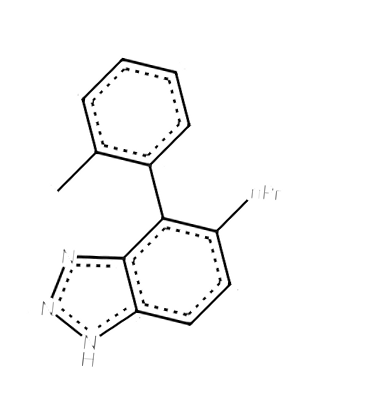 CCCc1ccc2[nH]nnc2c1-c1ccccc1C